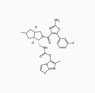 Cc1nc2sccn2c1OC(=O)NC[C@@H]1[C@H]2CC(C)C[C@H]2CN1C(=O)c1nc(N)sc1-c1cccc(F)c1